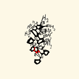 Bc1c(B)c(B)c(-c2c(B)c(B)c3c(c2B)c2c(B)c(B)c(B)c(B)c2n3-c2ccccc2Oc2cccc(-c3nc(-c4ccccc4)nc(-c4ccccc4Oc4ccccc4)n3)c2)c(B)c1B